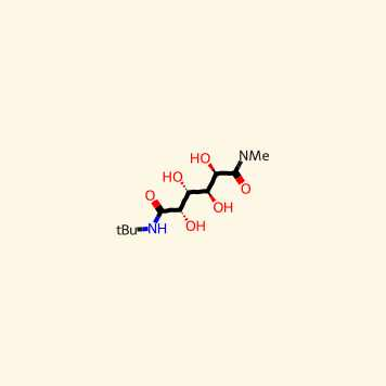 CNC(=O)[C@H](O)[C@@H](O)[C@@H](O)[C@H](O)C(=O)NC(C)(C)C